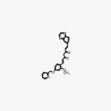 COc1cc(OCc2ccccn2)ccc1C=CC(=O)CC(=O)C=Cc1ccc2nccnc2c1